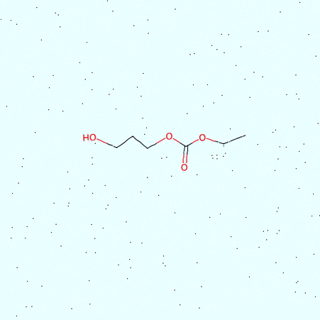 C[CH]OC(=O)OCCCO